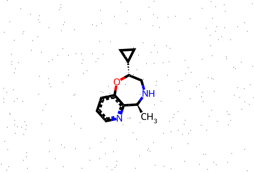 C[C@@H]1NC[C@@H](C2CC2)Oc2cccnc21